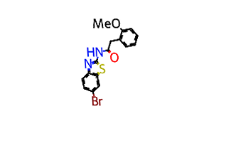 COc1ccccc1CC(=O)Nc1nc2ccc(Br)cc2s1